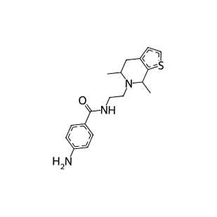 CC1Cc2ccsc2C(C)N1CCNC(=O)c1ccc(N)cc1